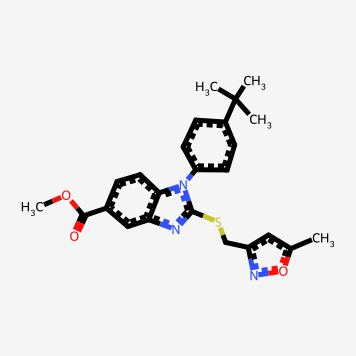 COC(=O)c1ccc2c(c1)nc(SCc1cc(C)on1)n2-c1ccc(C(C)(C)C)cc1